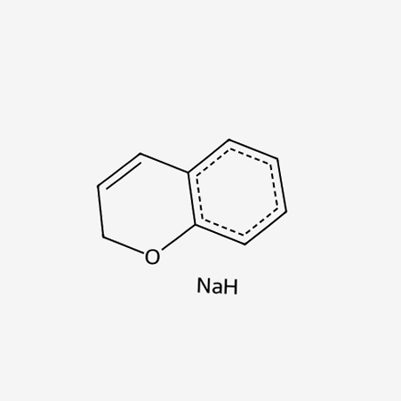 C1=Cc2ccccc2OC1.[NaH]